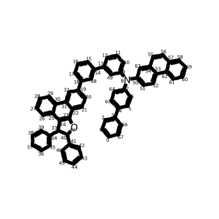 c1ccc(-c2ccc(N(c3cccc(-c4cccc(-c5ccc6c7c(c8ccccc8c6c5)C(c5ccccc5)C(c5ccccc5)O7)c4)c3)c3ccc4c(ccc5ccccc54)c3)cc2)cc1